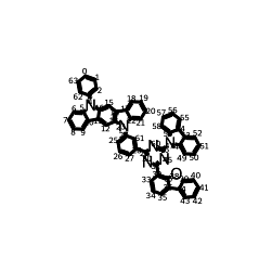 c1ccc(-n2c3ccccc3c3cc4c(cc32)c2ccccc2n4-c2cccc(-c3nc(-c4cccc5c4oc4ccccc45)nc(-n4c5ccccc5c5ccccc54)n3)c2)cc1